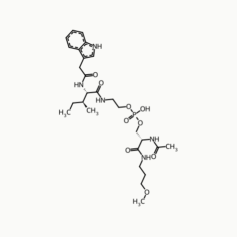 CC[C@H](C)[C@H](NC(=O)Cc1c[nH]c2ccccc12)C(=O)NCCOP(=O)(O)OC[C@H](NC(C)=O)C(=O)NCCCOC